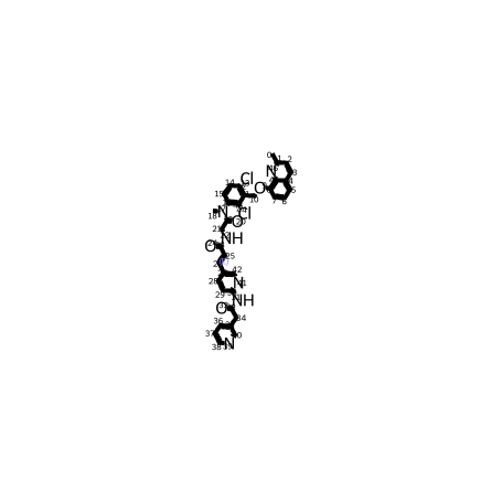 Cc1ccc2cccc(OCc3c(Cl)ccc(N(C)C(=O)CNC(=O)/C=C/c4ccc(NC(=O)Cc5cccnc5)nc4)c3Cl)c2n1